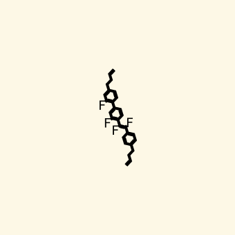 C=CCCc1ccc(/C(F)=C(\F)c2ccc(-c3ccc(CCC=C)cc3F)cc2F)cc1